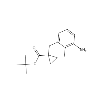 Cc1c(N)cccc1CC1(C(=O)OC(C)(C)C)CC1